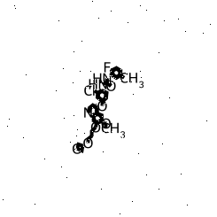 COc1cc2c(Oc3ccc(NC(=O)Nc4cc(C)ccc4F)c(Cl)c3)ccnc2cc1OCCCOC1COC1